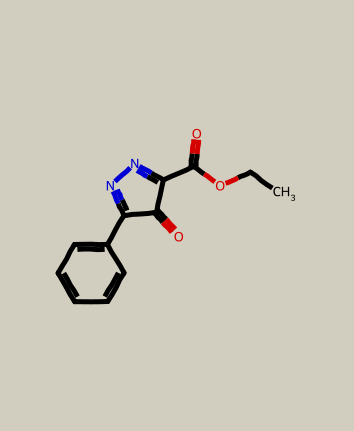 CCOC(=O)C1=NN=C(c2ccccc2)C1=O